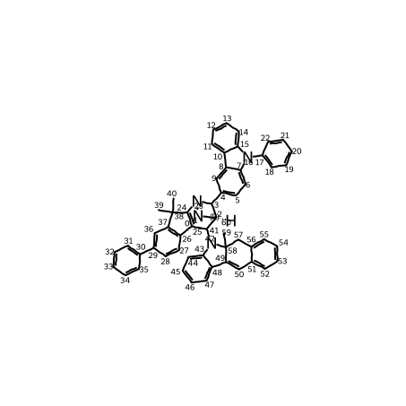 CN1[C@H]2C(c3ccc4c(c3)c3ccccc3n4-c3ccccc3)N1C1=C(c3ccc(-c4ccccc4)cc3C1(C)C)C2N1c2ccccc2C2=Cc3ccccc3CC21C